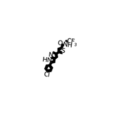 O=C(NCC(F)(F)F)c1cc(-c2cnc3[nH]c(-c4ccc(Cl)cc4)cc3c2)cs1